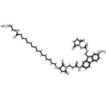 O=C(CCCCCCCCCCCCCCCSC1CC(=O)N(CCC(=O)Nc2ccc3c(c2)C(COC(=O)ON2C(=O)CCC2=O)c2cc(S(=O)(=O)O)ccc2-3)C1=O)NCCS(=O)(=O)O